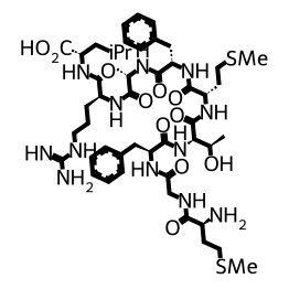 CSCC[C@H](NC(=O)[C@@H](NC(=O)[C@H](Cc1ccccc1)NC(=O)CNC(=O)[C@@H](N)CCSC)[C@@H](C)O)C(=O)N[C@@H](Cc1ccccc1)C(=O)N[C@@H](C)C(=O)N[C@@H](CCCNC(=N)N)C(=O)N[C@@H](CC(C)C)C(=O)O